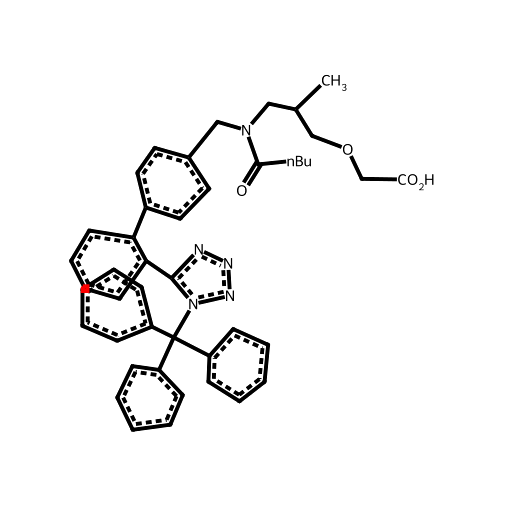 CCCCC(=O)N(Cc1ccc(-c2ccccc2-c2nnnn2C(c2ccccc2)(c2ccccc2)c2ccccc2)cc1)CC(C)COCC(=O)O